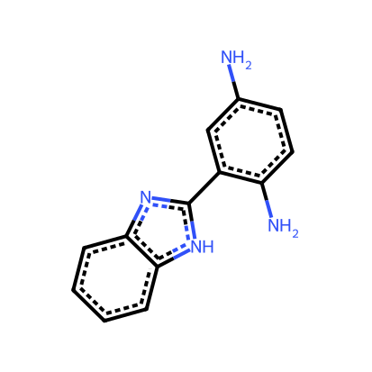 Nc1ccc(N)c(-c2nc3ccccc3[nH]2)c1